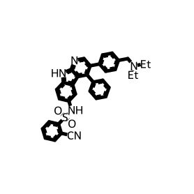 CCN(CC)Cc1ccc(-c2cnc3[nH]c4ccc(NS(=O)(=O)c5ccccc5C#N)cc4c3c2-c2ccccc2)cc1